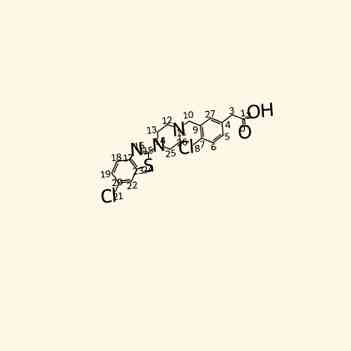 O=C(O)Cc1ccc(Cl)c(CN2CCN(c3nc4ccc(Cl)cc4s3)CC2)c1